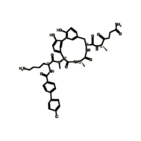 C[C@H](NC(=O)[C@@H]1Cc2ccc(O)c(c2)-c2cc(ccc2O)[C@H](N(C)C(=O)[C@H](CCCCN)NC(=O)c2ccc(-c3ccc(Cl)cc3)cc2)C(=O)N[C@@H](C)C(=O)N1)C(=O)CCC(N)=O